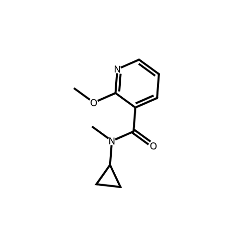 COc1ncccc1C(=O)N(C)C1CC1